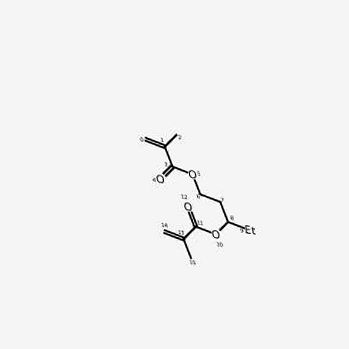 C=C(C)C(=O)OCCC(CC)OC(=O)C(=C)C